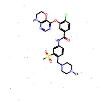 CCN1CCN(Cc2ccc(NC(=O)c3ccc(Cl)c(Oc4ncnc5c4OCCN5)c3)cc2S(C)(=O)=O)CC1